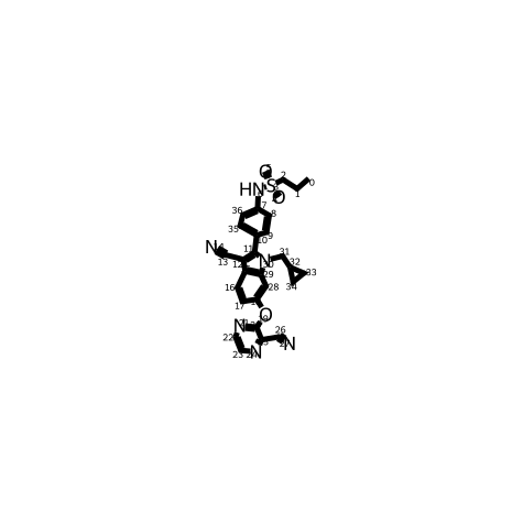 CCCS(=O)(=O)Nc1ccc(-c2c(C#N)c3ccc(Oc4nccnc4C#N)cc3n2CC2CC2)cc1